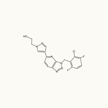 OCCn1cc(-c2ccc3nnn(Cc4c(F)ccc(F)c4Cl)c3n2)cn1